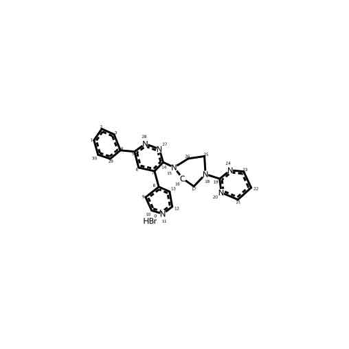 Br.c1ccc(-c2cc(-c3ccncc3)c(N3CCN(c4ncccn4)CC3)nn2)cc1